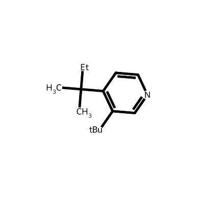 CCC(C)(C)c1ccncc1C(C)(C)C